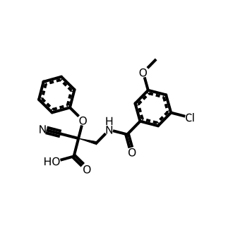 COc1cc(Cl)cc(C(=O)NC[C@@](C#N)(Oc2ccccc2)C(=O)O)c1